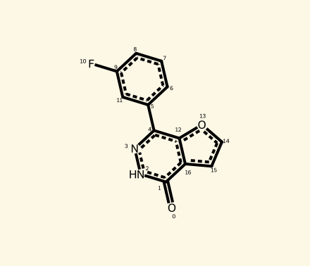 O=c1[nH]nc(-c2cccc(F)c2)c2occc12